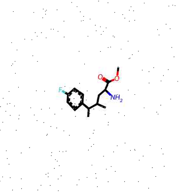 COC(=O)C(N)CC(C)C(C)c1ccc(F)cc1